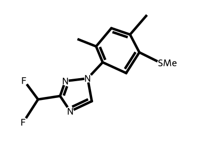 CSc1cc(-n2cnc(C(F)F)n2)c(C)cc1C